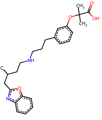 CC(CCNCCCc1cccc(OC(C)(C)C(=O)O)c1)Cc1nc2ccccc2o1